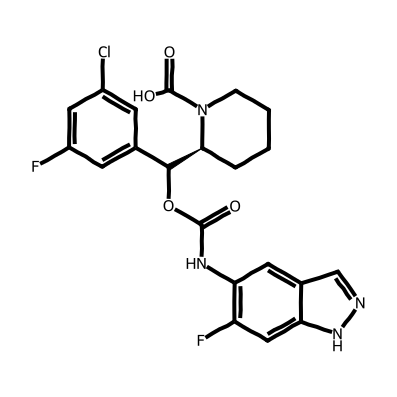 O=C(Nc1cc2cn[nH]c2cc1F)OC(c1cc(F)cc(Cl)c1)[C@@H]1CCCCN1C(=O)O